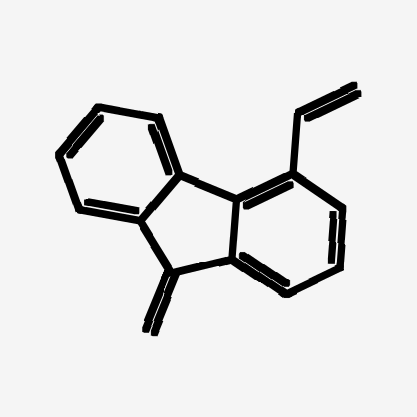 C=Cc1cccc2c1-c1ccccc1C2=C